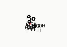 Fc1c(F)c(F)c(-c2c(F)c(F)c(F)c(F)c2F)c(F)c1F.OBO.c1ccc([C](c2ccccc2)c2ccccc2)cc1